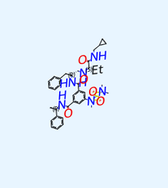 CC[C@H](NC[C@@H](Cc1ccccc1)NC(=O)c1cc(C(=O)N[C@H](C)c2ccccc2)cc(N(C)S(=O)(=O)N(C)C)c1)C(=O)NCC1CC1